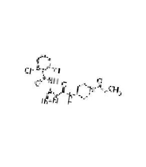 CCC(=O)N1CCC(NC(=O)c2n[nH]cc2NC(=O)c2c(Cl)cccc2Cl)CC1